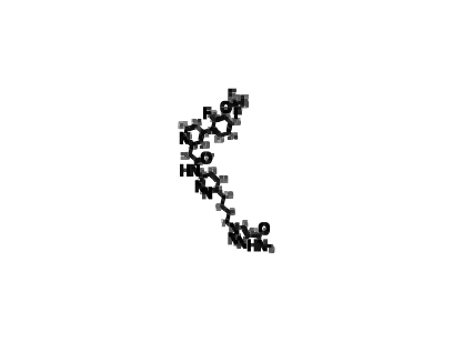 CNC(=O)c1cn(CCCCc2ccc(NC(=O)Cc3cc(-c4cccc(OC(F)(F)F)c4F)ccn3)nn2)nn1